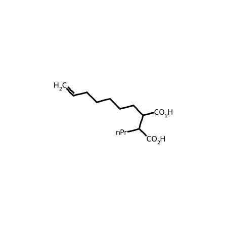 C=CCCCCCC(C(=O)O)C(CCC)C(=O)O